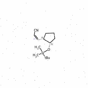 CC(C)(C)[Si](C)(C)O[C@H]1CCC[C@H]1/C=C\C#N